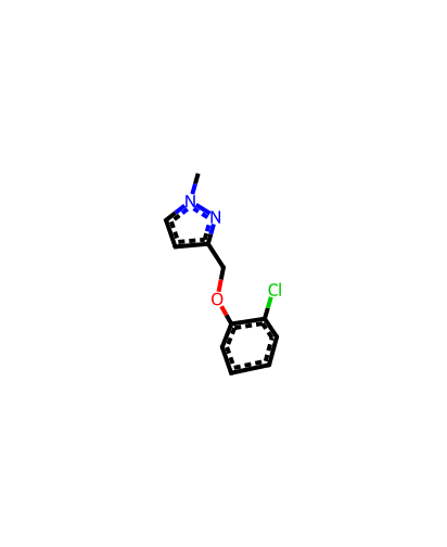 Cn1ccc(COc2ccccc2Cl)n1